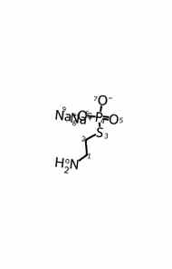 NCCSP(=O)([O-])[O-].[Na+].[Na+]